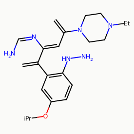 C=C(C(=C/C(=C)N1CCN(CC)CC1)/N=C\N)c1cc(OC(C)C)ccc1NN